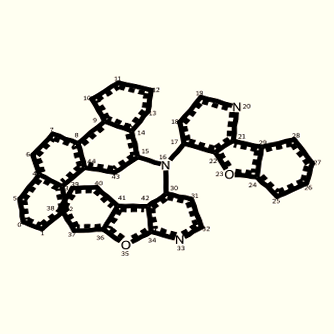 c1ccc2c(c1)ccc1c3ccccc3c(N(c3ccnc4c3oc3ccccc34)c3ccnc4oc5ccccc5c34)cc21